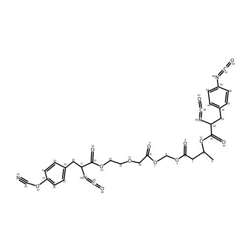 CC(CC(=O)OCOC(=O)COCCOC(=O)C(Cc1ccc(OC#N)cc1)N=C=O)OC(=O)C(Cc1ccc(N=C=O)cc1)N=C=O